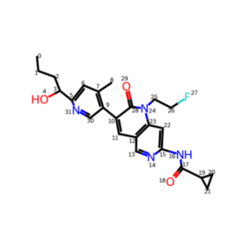 CCCC(O)c1cc(C)c(-c2cc3cnc(NC(=O)C4CC4)cc3n(CCF)c2=O)cn1